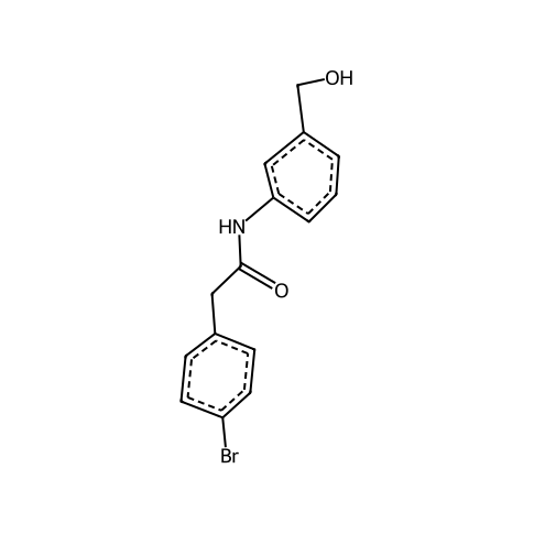 O=C(Cc1ccc(Br)cc1)Nc1cccc(CO)c1